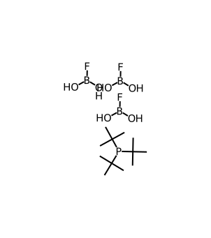 CC(C)(C)P(C(C)(C)C)C(C)(C)C.OB(O)F.OB(O)F.OB(O)F